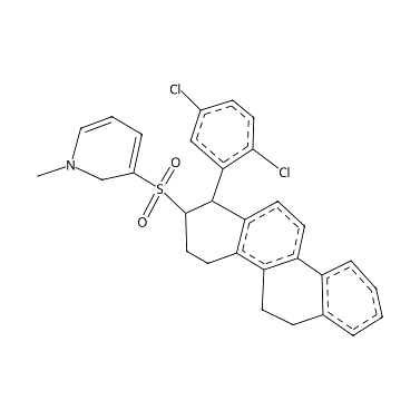 CN1C=CC=C(S(=O)(=O)C2CCc3c(ccc4c3CCc3ccccc3-4)C2c2cc(Cl)ccc2Cl)C1